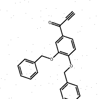 C#CC(=O)c1ccc(OCc2ccccc2)c(OCc2ccccc2)c1